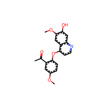 COc1ccc(Oc2ccnc3cc(O)c(OC)cc23)c(C(C)=O)c1